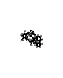 CC(=O)OCC1O[C@H](O[C@H](C)CO[Si](c2ccccc2)(c2ccccc2)C(C)(C)C)C(C)[C@@H](C)[C@@H]1C